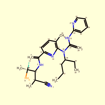 C=C(NC(C(C)C#N)[C@](C)(F)P)c1ccc(C)c(N(C(=C)Nc2ccccn2)C(CC)CCC)n1